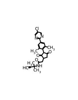 C#CC(C)(C)NC(=O)CC1CC(=O)C(c2c(C)cc(-c3ncc(Cl)cn3)cc2C)C1=O